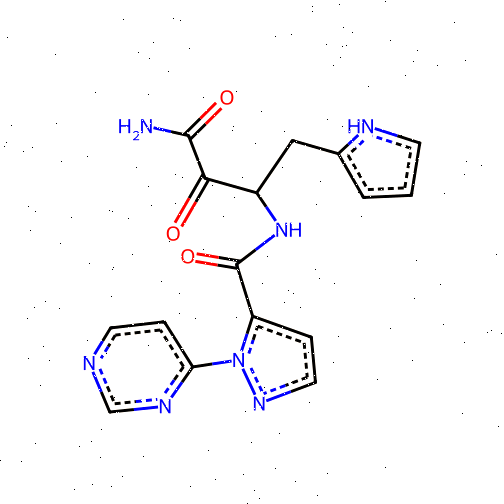 NC(=O)C(=O)C(Cc1ccc[nH]1)NC(=O)c1ccnn1-c1ccncn1